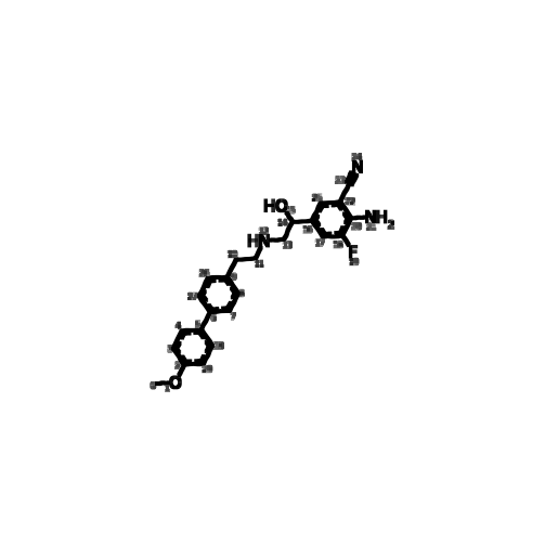 COc1ccc(-c2ccc(CCNCC(O)c3cc(F)c(N)c(C#N)c3)cc2)cc1